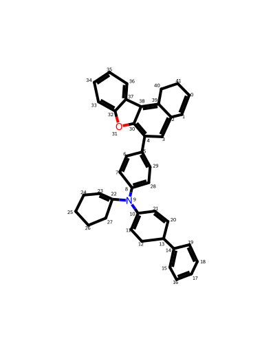 C1=Cc2cc(-c3ccc(N(C4=CCC(c5ccccc5)C=C4)C4=CCCCC4)cc3)c3oc4ccccc4c3c2CC1